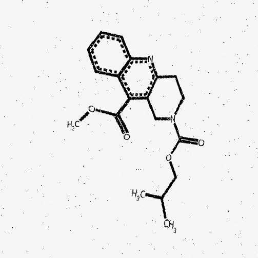 COC(=O)c1c2c(nc3ccccc13)CCN(C(=O)OCC(C)C)C2